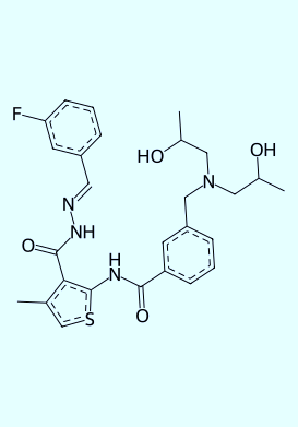 Cc1csc(NC(=O)c2cccc(CN(CC(C)O)CC(C)O)c2)c1C(=O)NN=Cc1cccc(F)c1